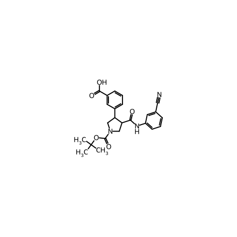 CC(C)(C)OC(=O)N1CC(C(=O)Nc2cccc(C#N)c2)C(c2cccc(C(=O)O)c2)C1